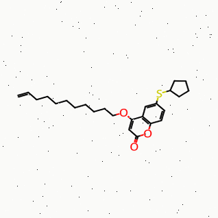 C=CCCCCCCCCCOc1cc(=O)oc2ccc(SC3CCCC3)cc12